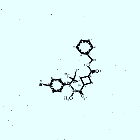 CN(C(=O)C1CC(C(=O)OCc2ccccc2)C1)[C@@H](c1ccc(Br)cc1)C(F)(F)F